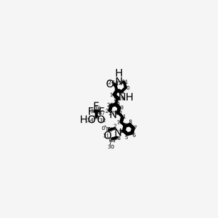 C[C@@H]1CN(c2ccccc2C=Cc2cc(-c3cc4c([nH]3)CCNC4=O)ccn2)C[C@H](C)O1.O=C(O)C(F)(F)F